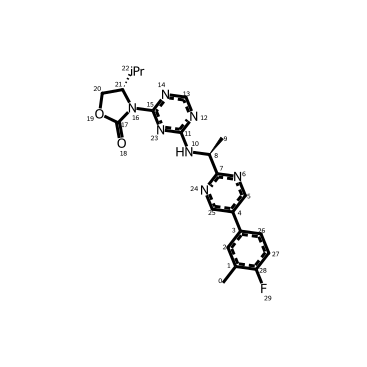 Cc1cc(-c2cnc([C@H](C)Nc3ncnc(N4C(=O)OC[C@@H]4C(C)C)n3)nc2)ccc1F